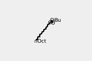 CCCCCCCCC=CCCCCCCCCCCCCOC(=O)OCC(C)C